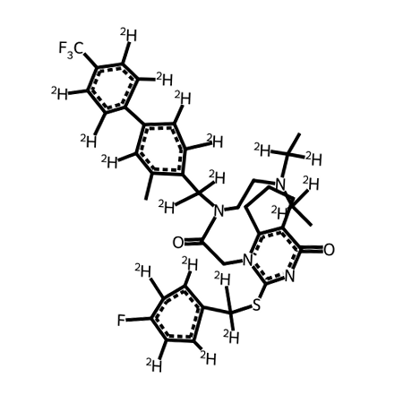 [2H]c1c([2H])c(C([2H])([2H])Sc2nc(=O)c3c(n2CC(=O)N(CCN(C([2H])([2H])C)C([2H])([2H])C)C([2H])([2H])c2c([2H])c([2H])c(-c4c([2H])c([2H])c(C(F)(F)F)c([2H])c4[2H])c([2H])c2C)CCC3)c([2H])c([2H])c1F